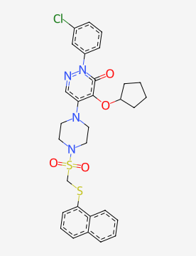 O=c1c(OC2CCCC2)c(N2CCN(S(=O)(=O)CSc3cccc4ccccc34)CC2)cnn1-c1cccc(Cl)c1